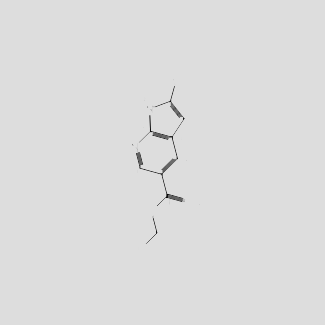 CCOC(=O)c1cnc2[nH]c(C)cc2c1